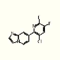 Fc1cc(Cl)c(-c2ccn3ccnc3c2)nc1F